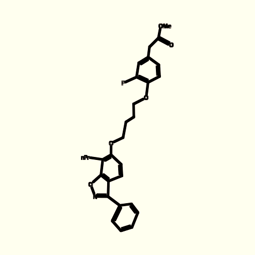 CCCc1c(OCCCCOc2ccc(CC(=O)OC)cc2F)ccc2c(-c3ccccc3)noc12